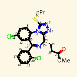 CCCSc1nnc2n1-c1ccc(Cl)cc1C(c1ccccc1Cl)=N[C@H]2CCC(=O)OC